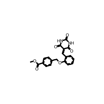 COC(=O)c1ccc(COc2ccccc2C=C2C(=O)NC(=O)NC2=O)cc1